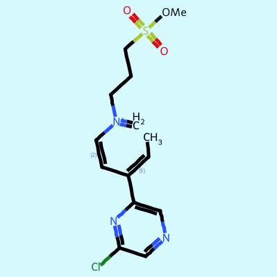 C=[N+](/C=C\C(=C/C)c1cncc(Cl)n1)CCCS(=O)(=O)OC